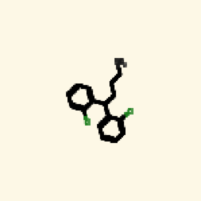 O=[N+]([O-])CCCC(c1ccccc1Cl)c1ccccc1Cl